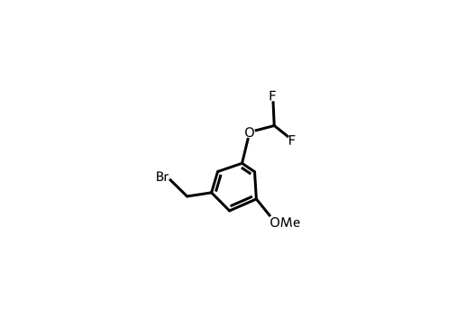 COc1cc(CBr)cc(OC(F)F)c1